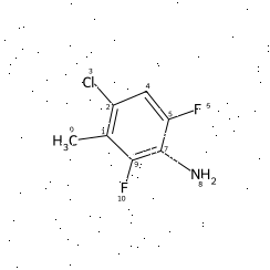 Cc1c(Cl)cc(F)c(N)c1F